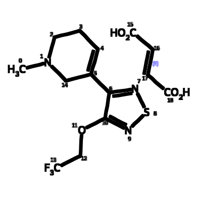 CN1CCC=C(c2nsnc2OCC(F)(F)F)C1.O=C(O)/C=C/C(=O)O